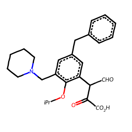 CC(C)Oc1c(CN2CCCCC2)cc(Cc2ccccc2)cc1C(C=O)C(=O)C(=O)O